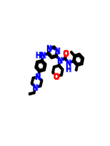 CCN1CCN(c2ccc(Nc3cc(N(C(=O)Nc4c(C)cccc4C)C4CCOCC4)ncn3)cc2)CC1